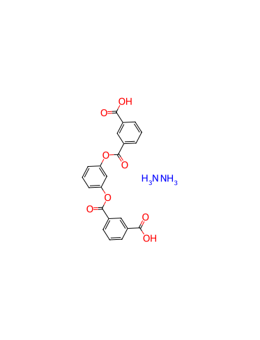 N.N.O=C(O)c1cccc(C(=O)Oc2cccc(OC(=O)c3cccc(C(=O)O)c3)c2)c1